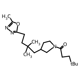 Cc1nnc(CCC(C)(C)CC2CCN(C(=O)CCC(C)(C)C)C2)o1